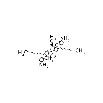 CCCCCCCCC(c1ccc(C(CCCCC)(c2ccc(C(CCCCCCCC)c3ccc(N)cc3C)cc2)C2CCCCC2)cc1)c1ccc(N)cc1C